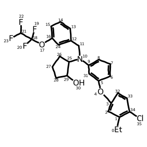 CCc1cc(Oc2cccc(N(Cc3cccc(OC(F)(F)C(F)F)c3)C3CCCC3O)c2)ccc1Cl